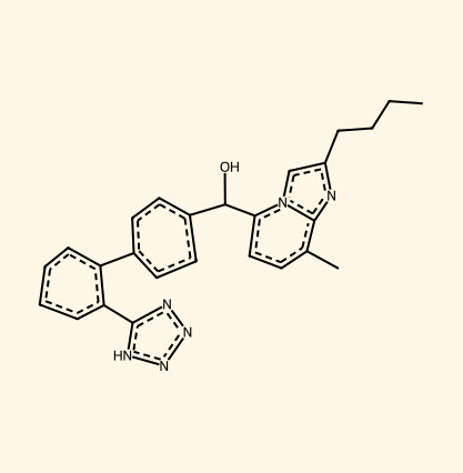 CCCCc1cn2c(C(O)c3ccc(-c4ccccc4-c4nnn[nH]4)cc3)ccc(C)c2n1